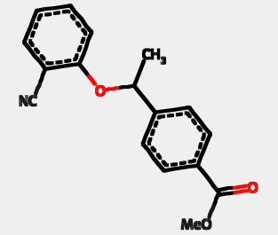 COC(=O)c1ccc(C(C)Oc2ccccc2C#N)cc1